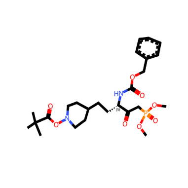 COP(=O)(CC(=O)[C@H](CCC1CCN(OC(=O)C(C)(C)C)CC1)NC(=O)OCc1ccccc1)OC